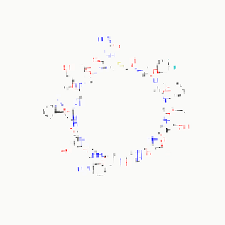 CCCC[C@H]1C(=O)N2C[C@H](O)C[C@@H]2C(=O)N[C@@H](CC(=O)O)C(=O)N[C@@H](C(C)C)C(=O)N(C)[C@H](Cc2ccccc2)C(=O)N[C@@H](CCN)C(=O)N2C[C@H](O)C[C@@H]2C(=O)N[C@@H](Cc2c[nH]c3ccccc23)C(=O)N[C@@H](Cc2ccc(O)cc2)C(=O)N[C@@H](CC(C)C)C(=O)N[C@H](C(=O)NCC(N)=O)CSCC(=O)N[C@@H](Cc2ccc(F)c(F)c2)C(=O)N(C)[C@@H](Cc2ccccc2)C(=O)N1C